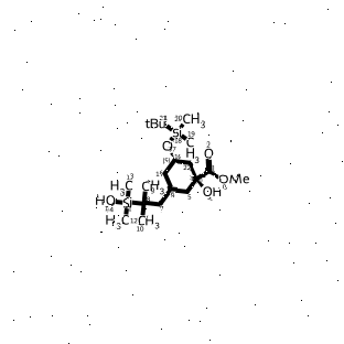 COC(=O)[C@]1(O)CC(CC(C)(C)[Si](C)(C)O)C[C@H](O[Si](C)(C)C(C)(C)C)C1